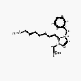 CCCCCCCCCCCCCCCCCC1N(CCCCCCCCCCC)C=CN1Cc1ccccc1